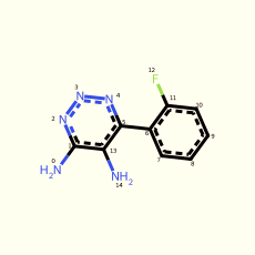 Nc1nnnc(-c2ccccc2F)c1N